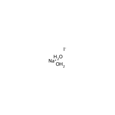 O.O.[I-].[Na+]